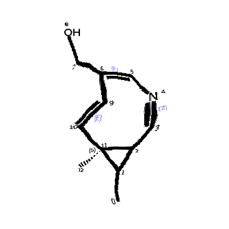 CC1C2\C=N/C=C(CO)\C=C\[C@]12C